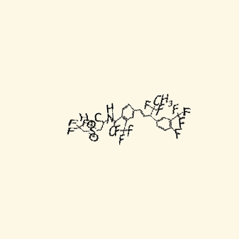 C[C@H](CS(=O)(=O)CC(F)(F)F)NC(=O)c1ccc(/C=C/C(c2ccc(F)c(C(F)(F)F)c2)C(C)(F)F)cc1C(F)(F)F